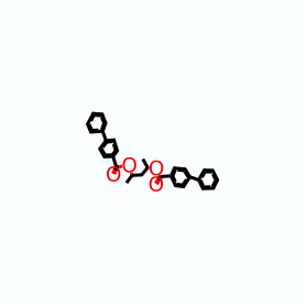 CC(CC(C)OC(=O)c1ccc(-c2ccccc2)cc1)OC(=O)c1ccc(-c2ccccc2)cc1